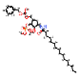 CCCCCCCCCCCCCCCC(=O)N[C@H]1C[C@H](COC(=O)OCc2ccccc2)[C@H](OP(=O)(O)OC)C1OC